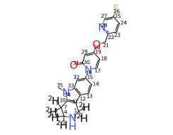 [2H]C1([2H])NC([2H])([2H])C([2H])([2H])c2c1c1ccc(-n3ccc(OCc4ccc(F)cn4)cc3=O)cc1n2C